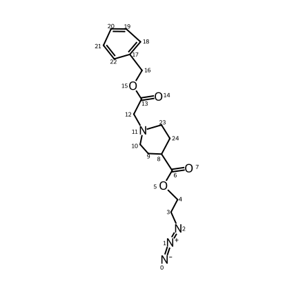 [N-]=[N+]=NCCOC(=O)C1CCN(CC(=O)OCc2ccccc2)CC1